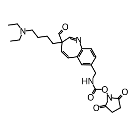 CCN(CC)CCCCC1(C=O)C=Cc2cc(CNC(=O)ON3C(=O)CCC3=O)ccc2N=C1